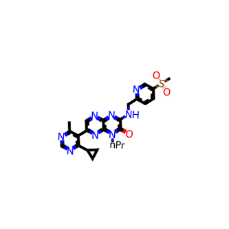 CCCn1c(=O)c(NCc2ccc(S(C)(=O)=O)cn2)nc2ncc(-c3c(C)ncnc3C3CC3)nc21